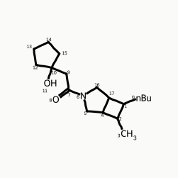 CCCCC1C(C)C2CN(C(=O)CC3(O)CCCC3)CC12